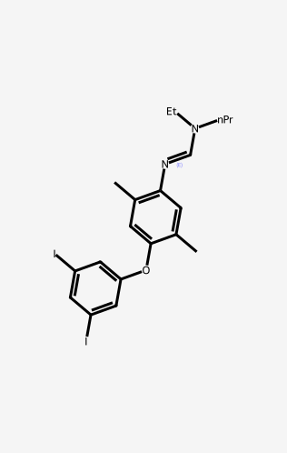 CCCN(/C=N/c1cc(C)c(Oc2cc(I)cc(I)c2)cc1C)CC